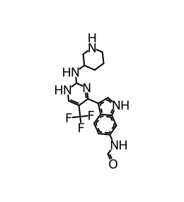 O=CNc1ccc2c(C3=NC(NC4CCCNC4)NC=C3C(F)(F)F)c[nH]c2c1